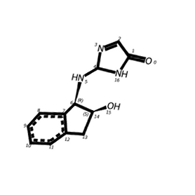 O=C1C=NC(N[C@@H]2c3ccccc3C[C@@H]2O)N1